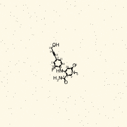 Cn1cc(C(N)=O)c(Nc2ccc(C#CCO)cc2F)cc1=O